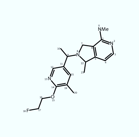 CNc1nccc2c1CN(C(C)c1cnc(OCCF)c(C)c1)C2C